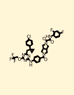 O=C(Nc1ccc(F)cc1F)C(=O)N1CC2CN(C(=O)c3ccc(Nc4nc(CC5(c6ccc(Cl)cc6)CC5)nc(OCC(F)(F)F)n4)cc3)CC2C1